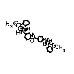 COc1ccccc1S(=O)(=O)Nc1ccc(-c2nc3cc(NS(=O)(=O)c4ccccc4OC)ccc3o2)cc1